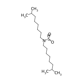 CC(C)CCCCCCN(CCCCCCC(C)C)[SH](=O)=O